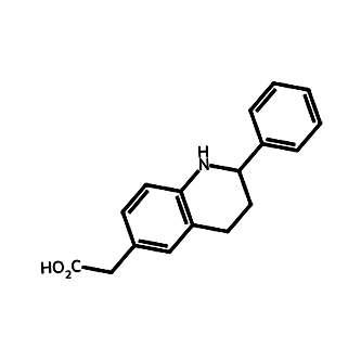 O=C(O)Cc1ccc2c(c1)CCC(c1ccccc1)N2